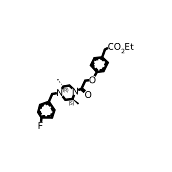 CCOC(=O)Cc1ccc(OCC(=O)N2C[C@@H](C)N(Cc3ccc(F)cc3)C[C@@H]2C)cc1